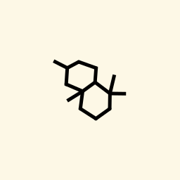 CC1CCC2C(C)(C)CCCC2(C)C1